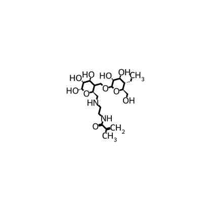 C=C(C)C(=O)NCCNC[C@H]1O[C@H](O)[C@H](O)[C@@H](O)C1COC1O[C@H](CO)[C@@H](CC)[C@H](O)[C@H]1O